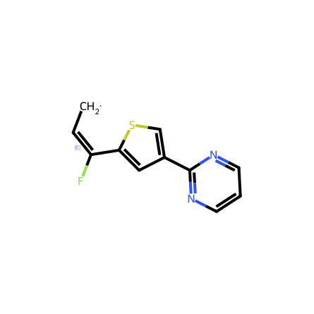 [CH2]/C=C(/F)c1cc(-c2ncccn2)cs1